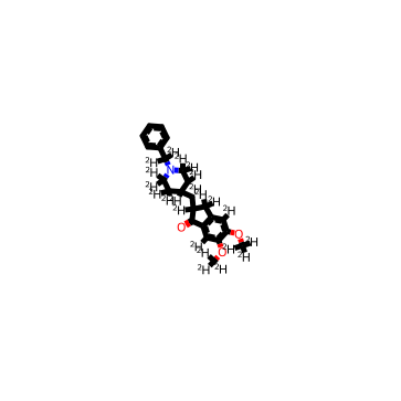 [2H]c1c(OC([2H])([2H])[2H])c(OC([2H])([2H])[2H])c([2H])c2c1C(=O)C([2H])(CC1([2H])C([2H])([2H])C([2H])([2H])N(C([2H])([2H])c3ccccc3)C([2H])([2H])C1([2H])[2H])C2([2H])[2H]